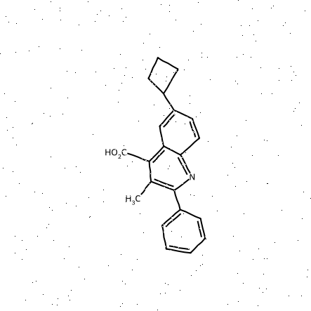 Cc1c(-c2ccccc2)nc2ccc(C3CCC3)cc2c1C(=O)O